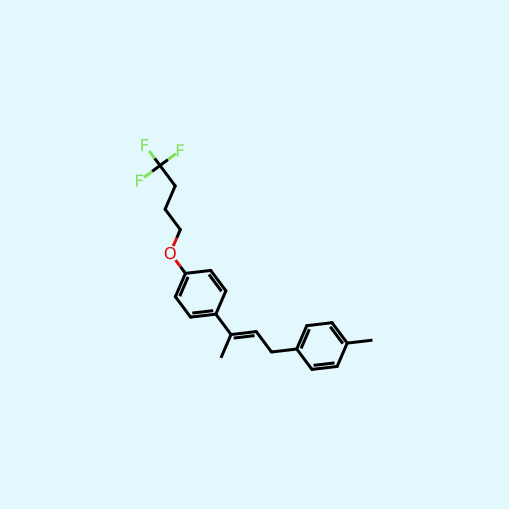 C/C(=C\Cc1ccc(C)cc1)c1ccc(OCCCC(F)(F)F)cc1